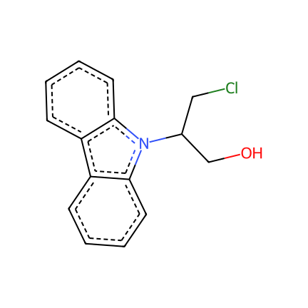 OCC(CCl)n1c2ccccc2c2ccccc21